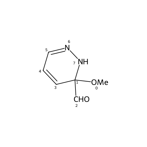 COC1(C=O)C=CC=NN1